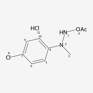 CC(=O)ONN(C)c1ccc(Cl)cc1.Cl